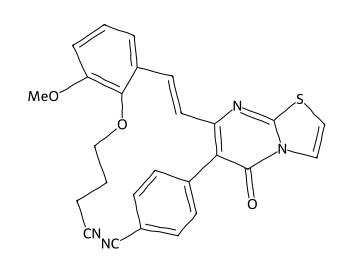 COc1cccc(C=Cc2nc3sccn3c(=O)c2-c2ccc(C#N)cc2)c1OCCCC#N